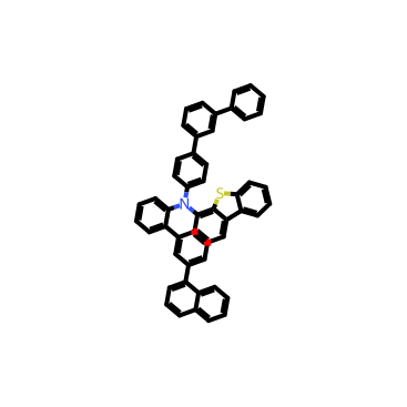 c1ccc(-c2cccc(-c3ccc(N(c4ccccc4-c4cccc(-c5cccc6ccccc56)c4)c4cccc5c4sc4ccccc45)cc3)c2)cc1